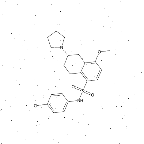 COc1ccc(S(=O)(=O)Nc2ccc(Cl)cc2)c2c1C[C@@H](N1CCCC1)CC2